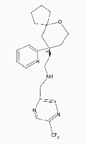 FC(F)(F)c1cnc(CNCC[C@]2(c3ccccn3)CCOC3(CCCC3)C2)cn1